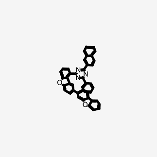 c1ccc(-c2nc(-c3ccc4ccccc4c3)nc(-c3cccc4oc5ccc(-c6ccc7c(c6)oc6ccccc67)cc5c34)n2)cc1